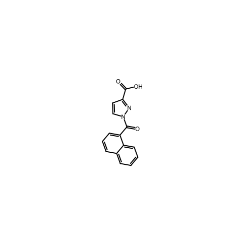 O=C(O)c1ccn(C(=O)c2cccc3ccccc23)n1